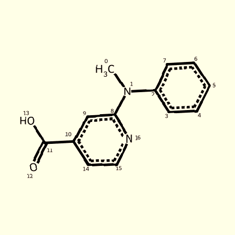 CN(c1ccccc1)c1cc(C(=O)O)ccn1